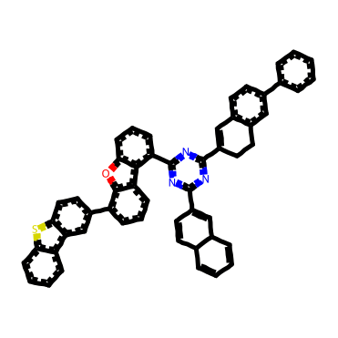 C1=CC2C=CC(c3nc(C4=Cc5ccc(-c6ccccc6)cc5CC4)nc(-c4cccc5oc6c(-c7ccc8sc9ccccc9c8c7)cccc6c45)n3)=CC2C=C1